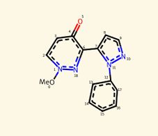 COn1ccc(=O)c(-c2ccnn2-c2ccccc2)n1